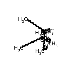 CCCCCCCCCCCCCC[N+](C)(C)CCCC(C(CCCc1cc(C)ccn1)c1cc(C)ccn1)[N+](C)(C)CCCCCCCCCCCCCC.Cl.Cl.[Br-].[Br-]